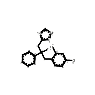 FC(Cc1nc[nH]n1)(Cc1ccc(Cl)cc1Cl)c1ccccc1